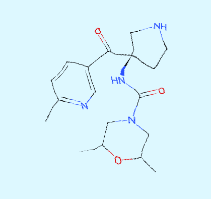 Cc1ccc(C(=O)[C@@]2(NC(=O)N3CC(C)OC(C)C3)CCNC2)cn1